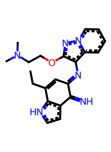 CCC1=C/C(=N\c2c(OCCN(C)C)nn3ccccc23)C(=N)c2cc[nH]c21